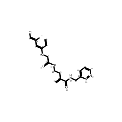 C=C/C(=C\C(F)=C\Cl)OCC(=O)NCCC(=C)C(=O)NCc1cccnn1